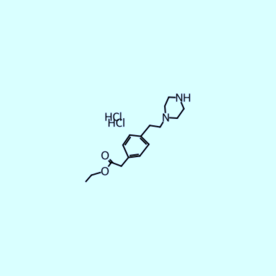 CCOC(=O)Cc1ccc(CCN2CCNCC2)cc1.Cl.Cl